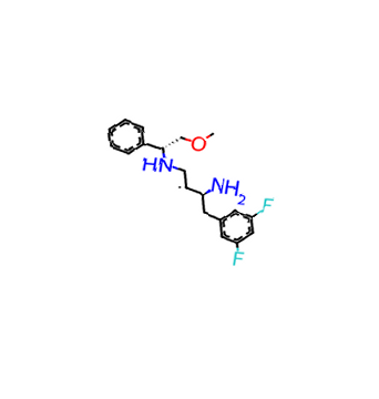 COC[C@H](NC[CH][C@@H](N)Cc1cc(F)cc(F)c1)c1ccccc1